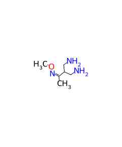 CON=C(C)C(CN)CN